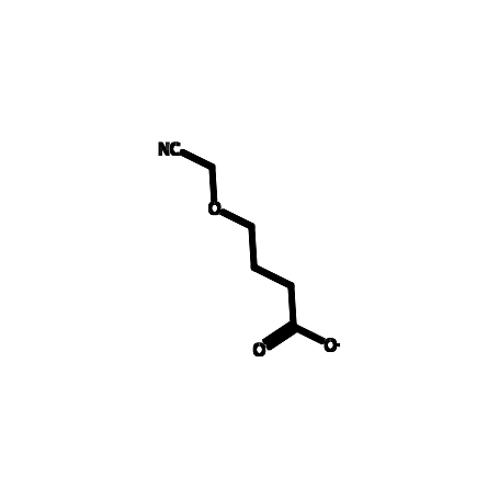 N#CCOCCCC([O])=O